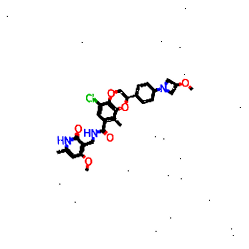 COc1cc(C)[nH]c(=O)c1CNC(=O)c1cc(Cl)c2c(c1C)O[C@H](C1CCC(N3CC(OC)C3)CC1)CO2